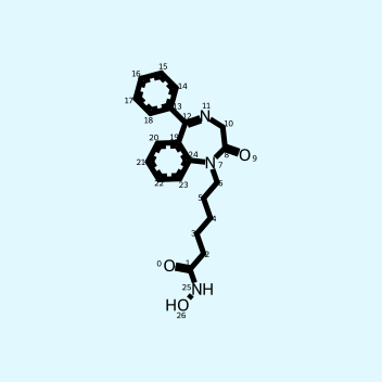 O=C(CCCCCN1C(=O)CN=C(c2ccccc2)c2ccccc21)NO